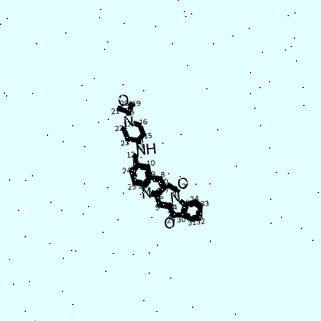 CC(=O)N1/C(=C\c2ccc3cc(CNC4CCN(C5COC5)CC4)ccc3n2)C(=O)c2ccccc21